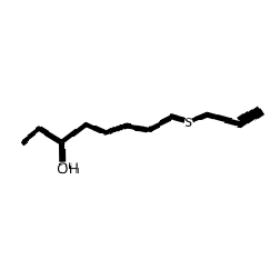 C=CCSCCCCCC(O)CC